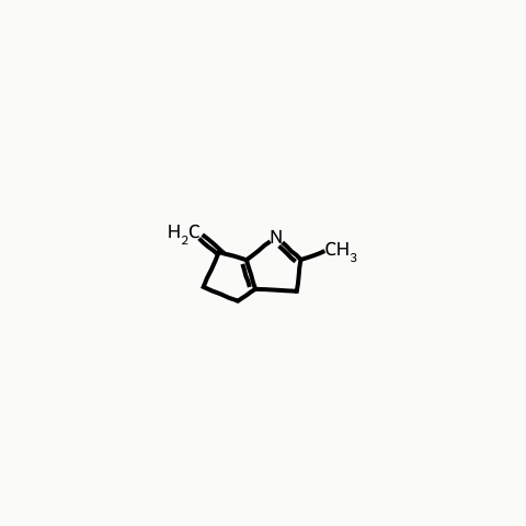 C=C1CCC2=C1N=C(C)C2